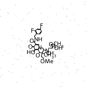 COCCC1(C)C(=O)c2c(O)c(=O)c(C(=O)NCc3ccc(F)cc3F)cn2CC1N(C)CCP(C)(=O)O